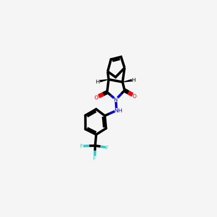 O=C1[C@@H]2C3C=CC(C3)[C@@H]2C(=O)N1Nc1cccc(C(F)(F)F)c1